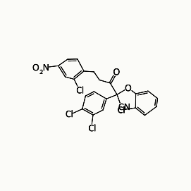 N#CC(Oc1ccccc1Cl)(C(=O)CCc1ccc([N+](=O)[O-])cc1Cl)c1ccc(Cl)c(Cl)c1